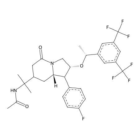 CC(=O)NC(C)(C)C1CC(=O)N2C[C@H](O[C@H](C)c3cc(C(F)(F)F)cc(C(F)(F)F)c3)C(c3ccc(F)cc3)[C@@H]2C1